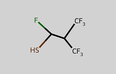 FC(S)C(C(F)(F)F)C(F)(F)F